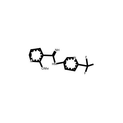 COc1ncccc1C(=N)Nc1ccc(C(C)(F)F)nc1